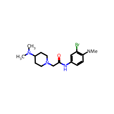 CNc1ccc(NC(=O)CN2CCC(N(C)C)CC2)cc1Br